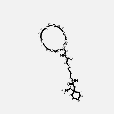 NCC1(CC(=O)NCCCSCC(=O)NCN2CCCCCCCCCCCCCCCCCC2)CCCCC1